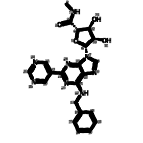 CNC(=O)[C@H]1O[C@@H](n2cnc3c(NCc4ccccc4)nc(-c4cncnc4)nc32)[C@H](O)[C@@H]1O